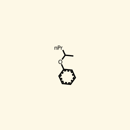 CCC[C](C)Oc1ccccc1